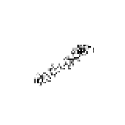 CC1(OC(=O)N2CCC(COc3cnc(N4CCN(S(C)(=O)=O)CC4)cn3)CC2)CC1